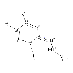 CC1=C/C(=N/NN)C(I)C=C1C